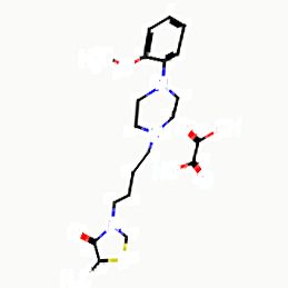 COc1ccccc1N1CCN(CCCCN2CSC(C)C2=O)CC1.O=C(O)C(=O)O